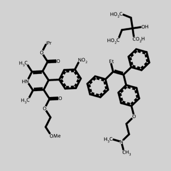 CC/C(=C(\c1ccccc1)c1ccc(OCCN(C)C)cc1)c1ccccc1.COCCOC(=O)C1=C(C)NC(C)=C(C(=O)OC(C)C)C1c1cccc([N+](=O)[O-])c1.O=C(O)CC(O)(CC(=O)O)C(=O)O